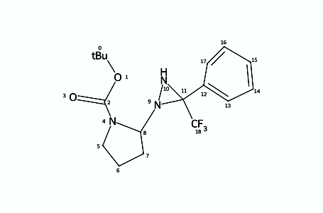 CC(C)(C)OC(=O)N1CCCC1N1NC1(c1ccccc1)C(F)(F)F